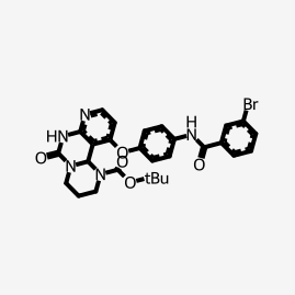 CC(C)(C)OC(=O)N1CCCN2C(=O)Nc3nccc(Oc4ccc(NC(=O)c5cccc(Br)c5)cc4)c3C21